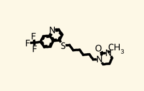 CN1CCCN(CCCCCCSc2ccnc3cc(C(F)(F)F)ccc23)C1=O